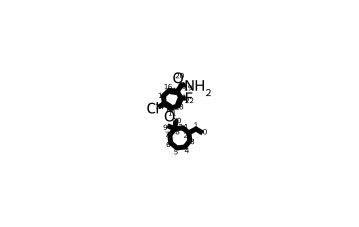 CCC1CCCCCC(C)(COC2=C(Cl)CC=C(C(N)=O)C(F)=C2)C1